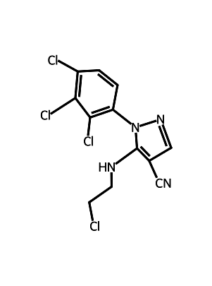 N#Cc1cnn(-c2ccc(Cl)c(Cl)c2Cl)c1NCCCl